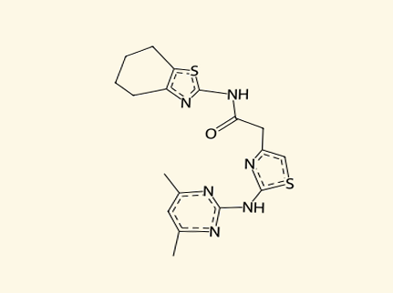 Cc1cc(C)nc(Nc2nc(CC(=O)Nc3nc4c(s3)CCCC4)cs2)n1